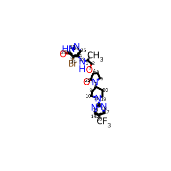 CC(COC1CCN(C2CCN(c3ncc(C(F)(F)F)cn3)CC2)C1=O)Nc1cn[nH]c(=O)c1Br